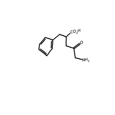 NCC(=O)CC(Cc1ccccc1)C(=O)O